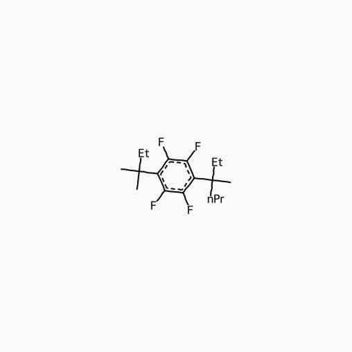 CCCC(C)(CC)c1c(F)c(F)c(C(C)(C)CC)c(F)c1F